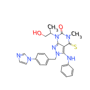 CC(CO)n1c(=O)n(C)c(=S)c2c(Nc3ccccc3)n(Cc3ccc(-n4ccnc4)cc3)nc21